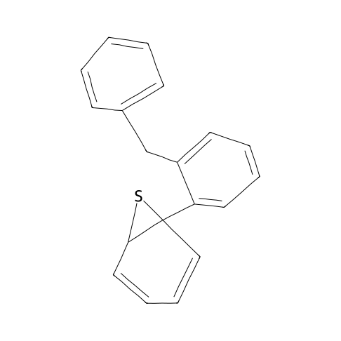 C1=CC2SC2(c2ccccc2Cc2ccccc2)C=C1